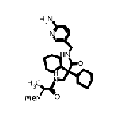 CN[C@@H](C)C(=O)NCC(C(=O)NCc1ccc(N)nc1)(C1CCCCC1)C1CCCCC1